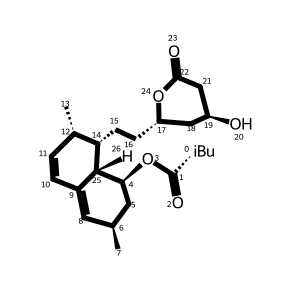 CC[C@@H](C)C(=O)O[C@H]1C[C@@H](C)C=C2C=C[C@H](C)[C@H](CC[C@H]3C[C@H](O)CC(=O)O3)[C@@H]21